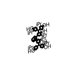 CC(C)c1cc(C(c2ccc(O)c(C(C)C)c2)c2cc(C34CC5CC(C3)CC(c3cc(C(C)C)c(O)c(C(c6ccc(O)c(C(C)C)c6)c6ccc(O)c(C(C)C)c6)c3)(C5)C4)cc(C(C)C)c2O)ccc1O